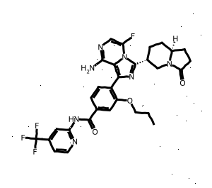 CCCOc1cc(C(=O)Nc2cc(C(F)(F)F)ccn2)ccc1-c1nc([C@@H]2CC[C@H]3CCC(=O)N3C2)n2c(F)cnc(N)c12